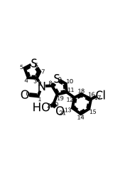 O=CN(c1ccsc1)c1scc(-c2cccc(Cl)c2)c1C(=O)O